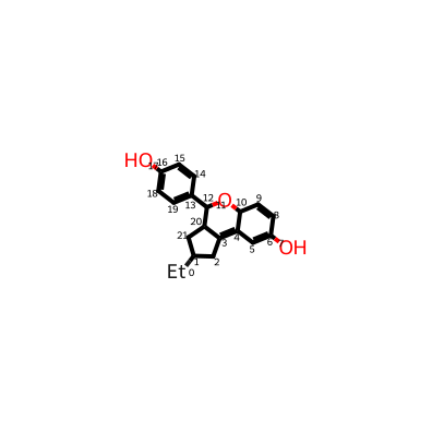 CCC1CC2=C3C=C(O)C=CC3OC(c3ccc(O)cc3)C2C1